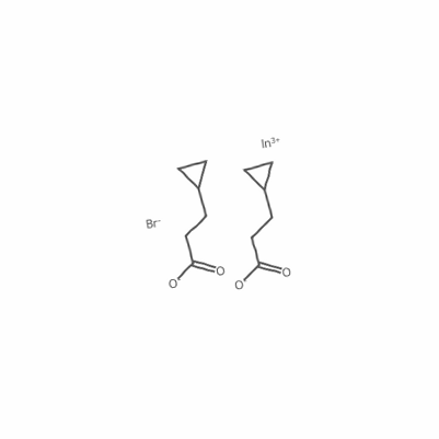 O=C([O-])CCC1CC1.O=C([O-])CCC1CC1.[Br-].[In+3]